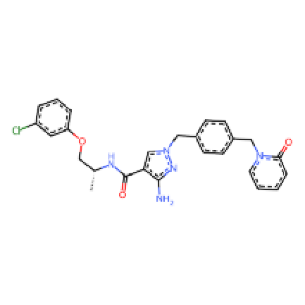 C[C@H](COc1cccc(Cl)c1)NC(=O)c1cn(Cc2ccc(Cn3ccccc3=O)cc2)nc1N